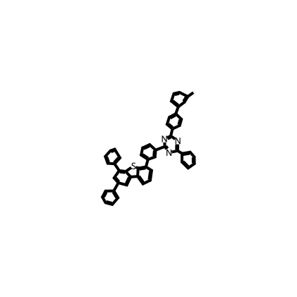 Cc1cccc(-c2ccc(-c3nc(-c4ccccc4)nc(-c4cccc(-c5cccc6c5sc5c(-c7ccccc7)cc(-c7ccccc7)cc56)c4)n3)cc2)c1